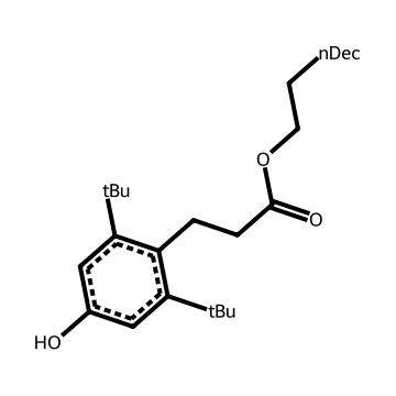 CCCCCCCCCCCCOC(=O)CCc1c(C(C)(C)C)cc(O)cc1C(C)(C)C